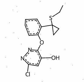 CCSC1(c2ccccc2Oc2nnc(Cl)cc2O)CC1